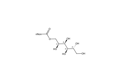 CCCCCCCCCC(=O)OC[C@H](O)[C@@H](O)[C@H](O)[C@H](O)CO